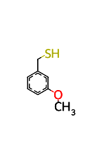 COc1cccc(CS)c1